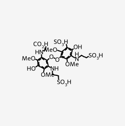 COc1c(O)c(OC)c(NCC(=O)O)c(OOc2c(OC)c(NCCS(=O)(=O)O)c(O)c(S(=O)(=O)O)c2OC)c1NCCS(=O)(=O)O